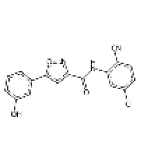 N#Cc1ccc(Cl)cc1NC(=O)c1cc(-c2cccc(O)c2)on1